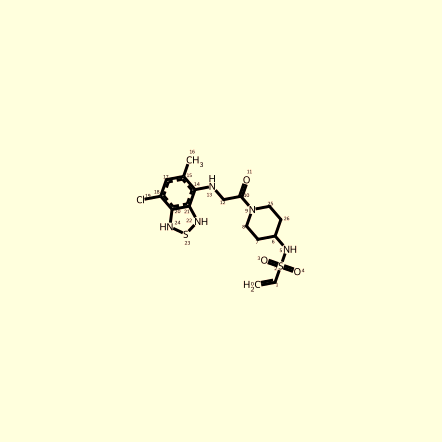 C=CS(=O)(=O)NC1CCN(C(=O)CNc2c(C)cc(Cl)c3c2NSN3)CC1